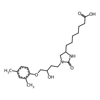 Cc1ccc(OCC(O)CCN2CC(CCCCCCC(=O)O)NC2=O)c(C)c1